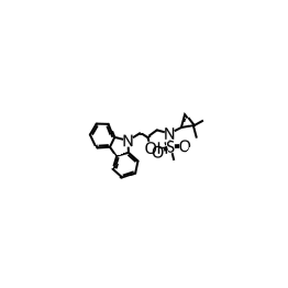 CC1(C)CC1N(CC(O)Cn1c2ccccc2c2ccccc21)S(C)(=O)=O